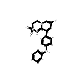 O=S1(=O)CCN2C=C(Cl)C=C(c3ccc(Oc4ccccc4)cc3)C2=N1